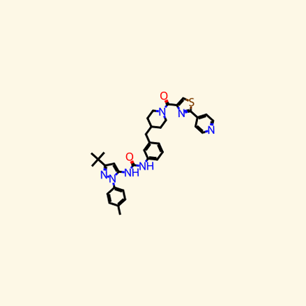 Cc1ccc(-n2nc(C(C)(C)C)cc2NC(=O)Nc2cccc(CC3CCN(C(=O)c4csc(-c5ccncc5)n4)CC3)c2)cc1